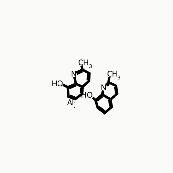 Cc1ccc2cccc(O)c2n1.Cc1ccc2cccc(O)c2n1.[Al]